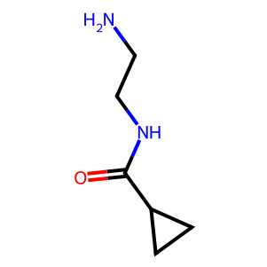 NCCNC(=O)C1CC1